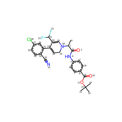 CC(C(=O)Nc1ccc(C(=O)OC(C)(C)C)cc1)N1C=C(C(F)F)C(c2cc(Cl)ccc2C#N)=CC1